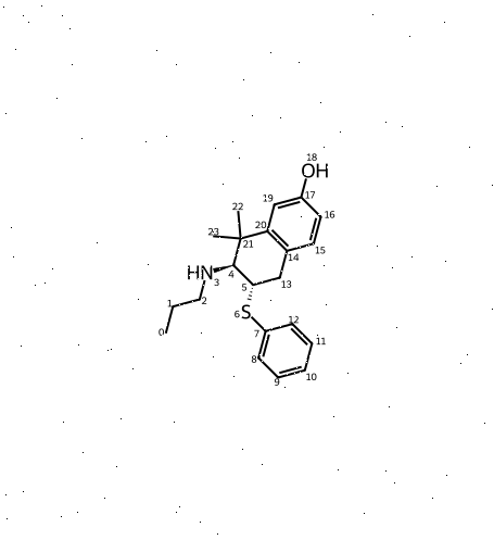 CCCN[C@@H]1[C@@H](Sc2ccccc2)Cc2ccc(O)cc2C1(C)C